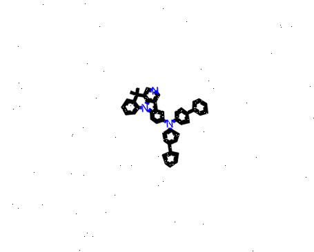 CC1(C)c2ccccc2-n2c3ccc(N(c4ccc(-c5ccccc5)cc4)c4ccc(-c5ccccc5)cc4)cc3c3cncc1c32